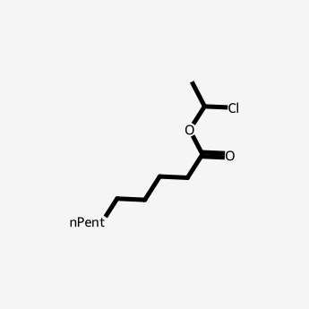 CCCCCCCCCC(=O)OC(C)Cl